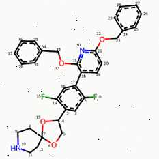 Fc1cc(C2COC3(CCNCC3)O2)c(F)cc1-c1ccc(OCc2ccccc2)nc1OCc1ccccc1